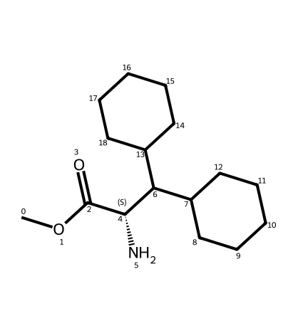 COC(=O)[C@@H](N)C(C1CCCCC1)C1CCCCC1